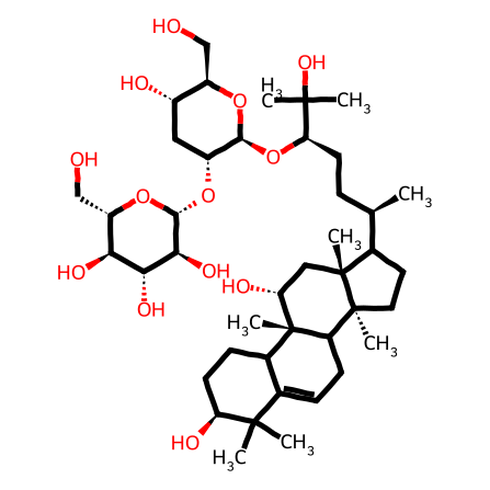 C[C@H](CC[C@@H](O[C@@H]1O[C@H](CO)[C@@H](O)C[C@H]1O[C@H]1O[C@@H](CO)[C@H](O)[C@@H](O)[C@@H]1O)C(C)(C)O)C1CC[C@@]2(C)C3CC=C4C(CC[C@H](O)C4(C)C)[C@]3(C)[C@H](O)C[C@]12C